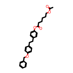 CC(=O)OCCCCCC(=O)Oc1ccc(CCc2ccc(OCc3ccccc3)cc2)cc1